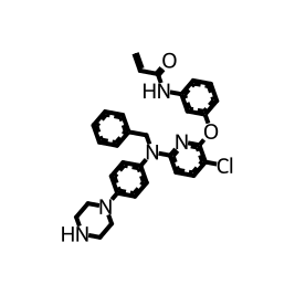 C=CC(=O)Nc1cccc(Oc2nc(N(Cc3ccccc3)c3ccc(N4CCNCC4)cc3)ccc2Cl)c1